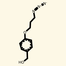 [N-]=[N+]=NCCCOc1ccc(CO)cc1